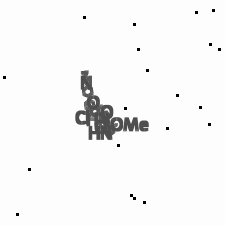 COc1cc(C)[nH]c(=O)c1CNC(=O)c1cc(Cl)c2c(c1C)OC([C@H]1CC[C@@H](N3CC4(CC4)C3)CC1)CC2